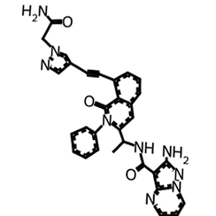 CC(NC(=O)c1c(N)nn2cccnc12)c1cc2cccc(C#Cc3cnn(CC(N)=O)c3)c2c(=O)n1-c1ccccc1